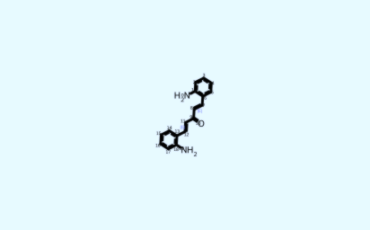 Nc1ccccc1/C=C/C(=O)/C=C/c1ccccc1N